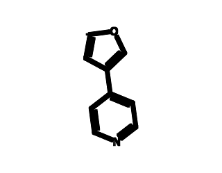 [c]1cc(-c2ccncc2)co1